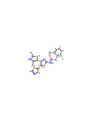 Cc1nc(C)c(-c2nc(NC(=O)Cc3c(F)cccc3F)sc2-c2cncs2)s1